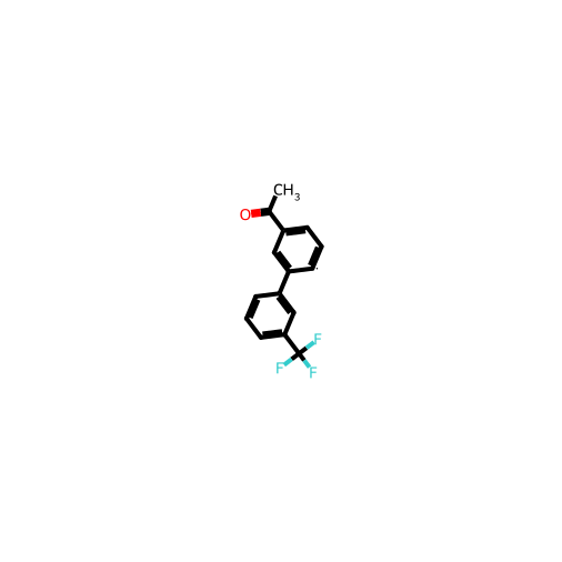 CC(=O)c1cc[c]c(-c2cccc(C(F)(F)F)c2)c1